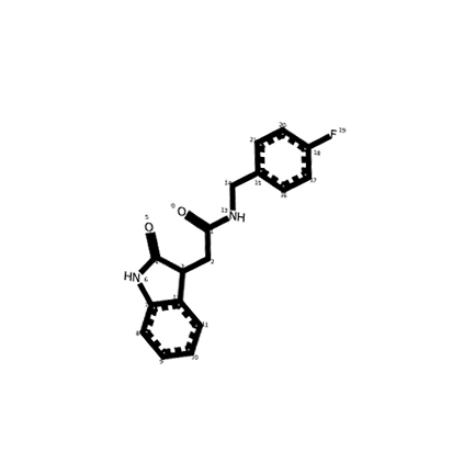 O=C(CC1C(=O)Nc2ccccc21)NCc1ccc(F)cc1